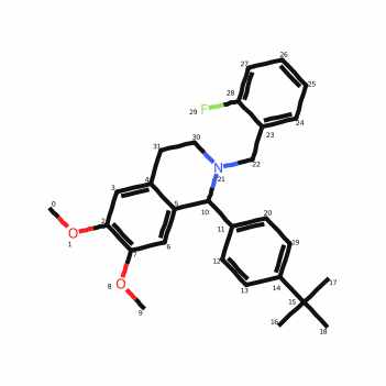 COc1cc2c(cc1OC)C(c1ccc(C(C)(C)C)cc1)N(Cc1ccccc1F)CC2